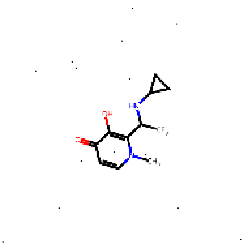 Cn1ccc(=O)c(O)c1C(NC1CC1)C(F)(F)F